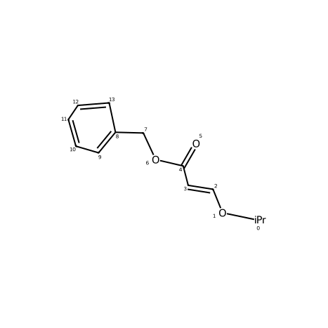 CC(C)O/C=C/C(=O)OCc1ccccc1